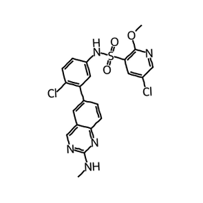 CNc1ncc2cc(-c3cc(NS(=O)(=O)c4cc(Cl)cnc4OC)ccc3Cl)ccc2n1